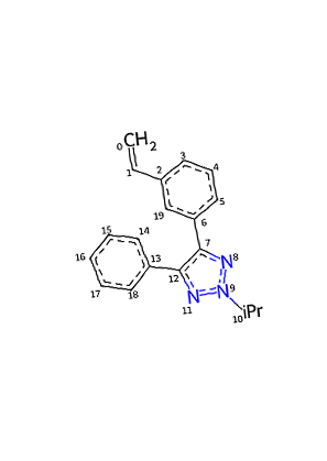 C=Cc1cccc(-c2nn(C(C)C)nc2-c2ccccc2)c1